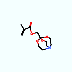 C=C(C)C(=O)OC[Si]12OCCN(CCO1)CCO2